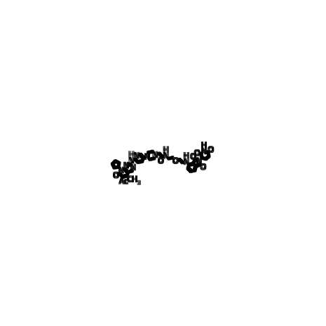 CC(=O)c1c(C)c2cnc(Nc3ccc(N4CCN(CC(=O)NCCOCCNc5cccc6c5C(=O)N(C5CCC(=O)NC5=O)C6=O)CC4)cn3)nc2n(C2CCCC2)c1=O